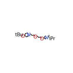 CC(C)[C@H](C)N1CC(OCCCOCCCN2CCC(OC(C)(C)C)CC2)C1